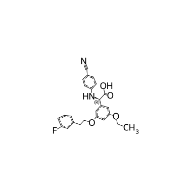 CCOc1cc(OCCc2cccc(F)c2)cc([C@@H](Nc2ccc(C#N)cc2)C(=O)O)c1